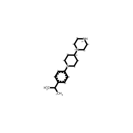 CC(C)c1ccc(N2CCC(N3CCNCC3)CC2)cc1